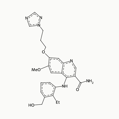 CCc1c(CO)cccc1Nc1c(C(N)=O)cnc2cc(OCCCn3cncn3)c(OC)cc12